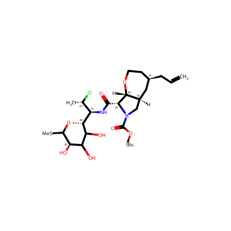 C=CC[C@@H]1CCO[C@@H]2[C@@H](C1)CN(C(=O)OC(C)(C)C)[C@@H]2C(=O)N[C@H]([C@H](C)Cl)[C@H]1OC(SC)[C@H](O)C(O)C1O